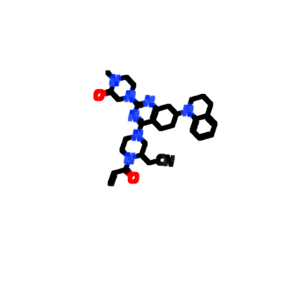 C=CC(=O)N1CCN(c2nc(N3CCN(C)C(=O)C3)nc3c2CCC(N2CCCc4ccccc42)C3)CC1CC#N